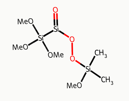 CO[Si](C)(C)OO[Si](=O)[Si](OC)(OC)OC